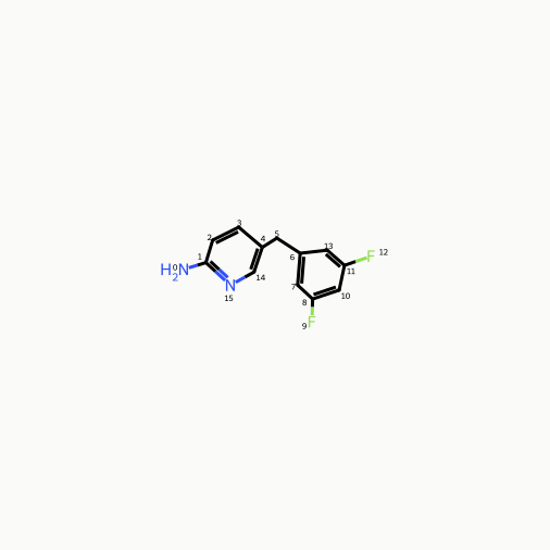 Nc1ccc(Cc2cc(F)cc(F)c2)cn1